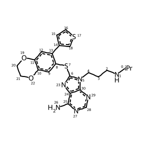 CC(C)NCCCn1c(Sc2cc3c(cc2-c2ccsc2)OCCO3)nc2c(N)ncnc21